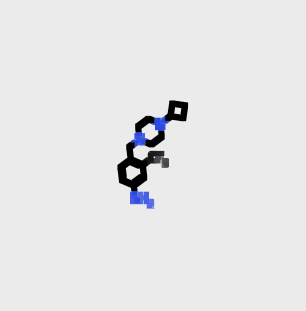 Nc1ccc(CN2CCN(C3CCC3)CC2)c(C(F)(F)F)c1